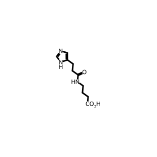 O=C(O)CCCNC(=O)CCc1cnc[nH]1